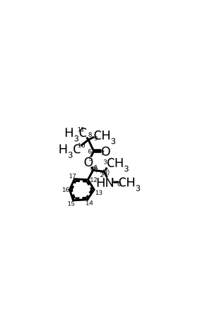 CN[C@H](C)[C@H](OC(=O)C(C)(C)C)c1ccccc1